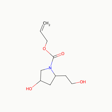 C=CCOC(=O)N1CC(O)CC1CCO